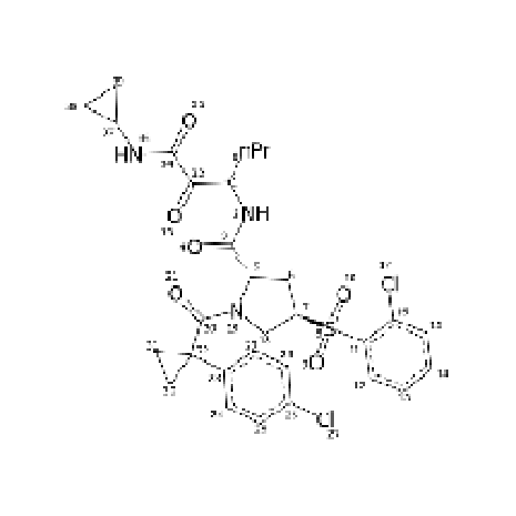 CCCC(NC(=O)[C@@H]1C[C@@H](S(=O)(=O)c2ccccc2Cl)CN1C(=O)C1(c2ccc(Cl)cc2)CC1)C(=O)C(=O)NC1CC1